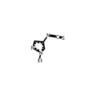 CCn1cc(N=C=S)cn1